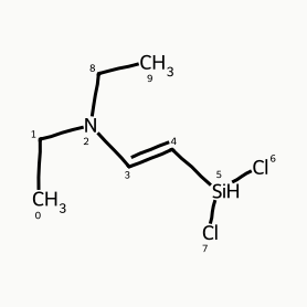 CCN(C=C[SiH](Cl)Cl)CC